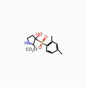 CCOC(=O)C1NCCC1(O)S(=O)(=O)c1ccc(C)cc1C